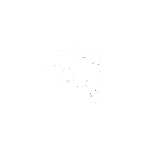 CC(Oc1cccc(/C=C/Cn2cccc2C(=O)Nc2ccc(OC(F)(F)F)cc2)c1)C(=O)O